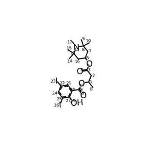 CC(CC(=O)OC1CC(C)(C)N(C)C(C)(C)C1)OC(=O)c1cc(I)cc(I)c1O